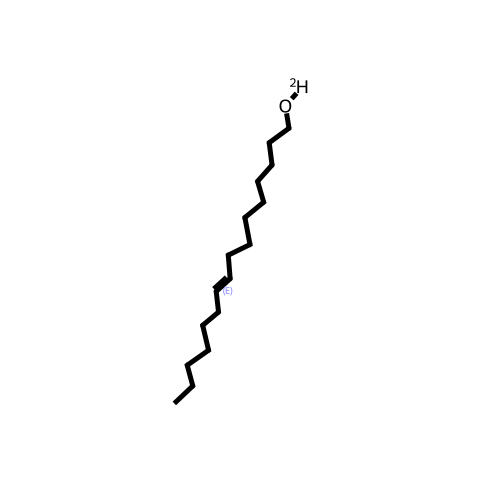 [2H]OCCCCCCCC/C=C/CCCCCC